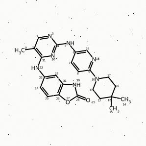 Cc1cnc(Nc2ccc(N3CCC(C)(C)CC3)nc2)nc1Nc1ccc2oc(=O)[nH]c2c1